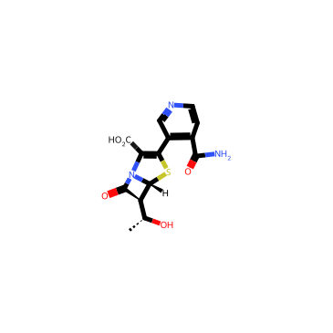 C[C@@H](O)[C@H]1C(=O)N2C(C(=O)O)=C(c3cnccc3C(N)=O)S[C@H]12